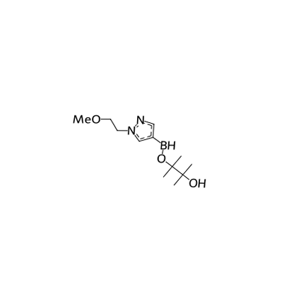 COCCn1cc(BOC(C)(C)C(C)(C)O)cn1